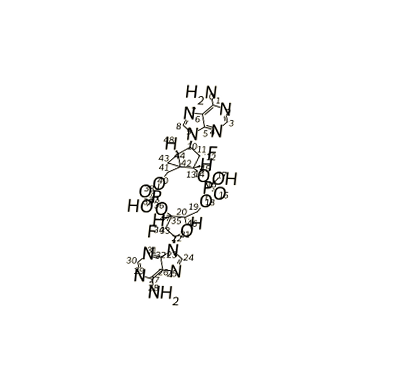 Nc1ncnc2c1ncn2[C@H]1[C@H](F)[C@@H]2OP(=O)(O)OC[C@H]3O[C@@H](n4cnc5c(N)ncnc54)[C@H](F)[C@@H]3OP(=O)(O)OCC23C[C@H]13